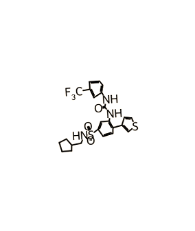 O=C(Nc1cccc(C(F)(F)F)c1)Nc1cc(S(=O)(=O)NCC2CCCC2)ccc1-c1ccsc1